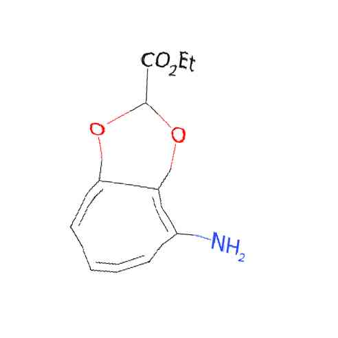 CCOC(=O)C1Oc2cccc(N)c2O1